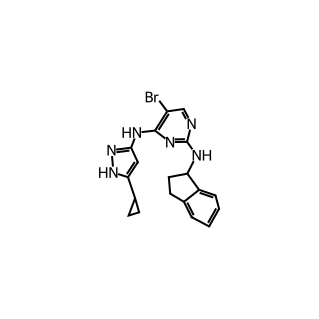 Brc1cnc(NC2CCc3ccccc32)nc1Nc1cc(C2CC2)[nH]n1